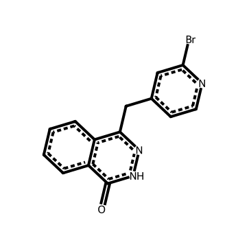 O=c1[nH]nc(Cc2ccnc(Br)c2)c2ccccc12